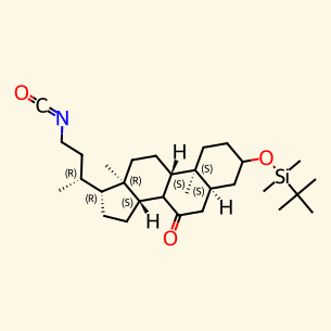 C[C@H](CCN=C=O)[C@H]1CC[C@H]2C3C(=O)C[C@@H]4CC(O[Si](C)(C)C(C)(C)C)CC[C@]4(C)[C@H]3CC[C@]12C